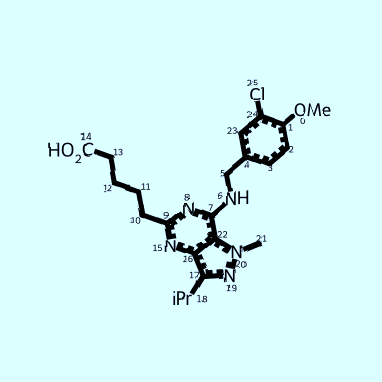 COc1ccc(CNc2nc(CCCCC(=O)O)nc3c(C(C)C)nn(C)c23)cc1Cl